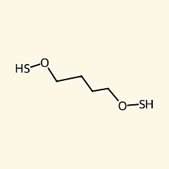 SOCCCCOS